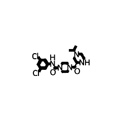 CC(C)N1CCN[C@@H](C(=O)N2CCN(C(=O)Nc3cc(Cl)cc(Cl)c3)CC2)C1